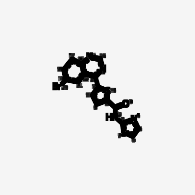 O=C(Nc1nccs1)c1ccc(-c2ncnc3ccc(Br)cc23)s1